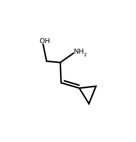 NC(C=C1CC1)CO